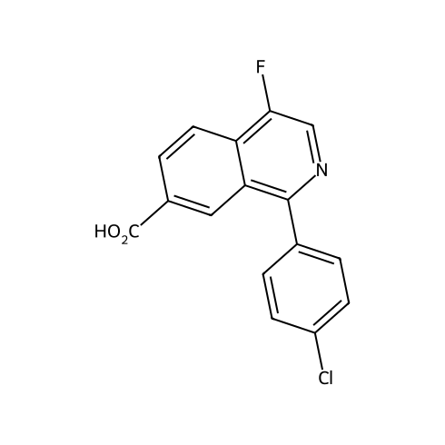 O=C(O)c1ccc2c(F)cnc(-c3ccc(Cl)cc3)c2c1